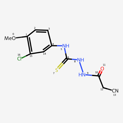 COc1ccc(NC(=S)NNC(=O)CC#N)cc1Cl